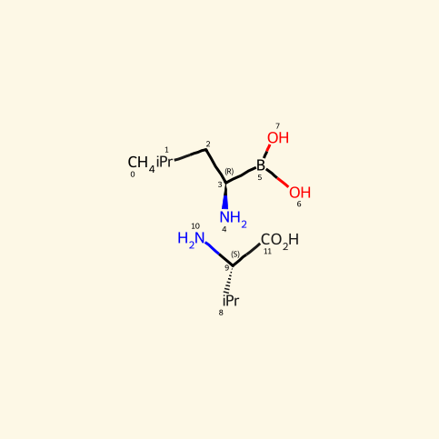 C.CC(C)C[C@H](N)B(O)O.CC(C)[C@H](N)C(=O)O